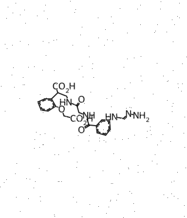 NN=CNc1cccc(C(=O)NCC(=O)NCC(C(=O)O)c2ccccc2OCC(=O)O)c1